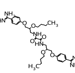 CCCCOC(CNC(=O)C(=O)NCC(COc1ccc(C(=N)N)cc1)OCCCC)COc1ccc(C(=N)N)cc1